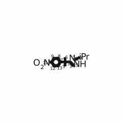 CC(C)c1nc(C(C)(C)c2ccc([N+](=O)[O-])cc2)c[nH]1